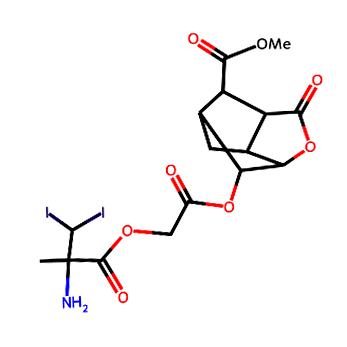 COC(=O)C1C2CC3C(OC(=O)C31)C2OC(=O)COC(=O)C(C)(N)C(I)I